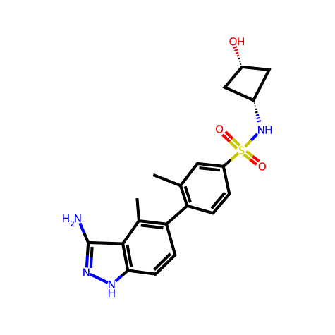 Cc1cc(S(=O)(=O)N[C@H]2C[C@@H](O)C2)ccc1-c1ccc2[nH]nc(N)c2c1C